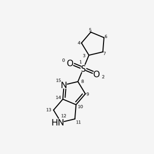 O=S(=O)(C1CCCC1)C1C=C2CNCC2=N1